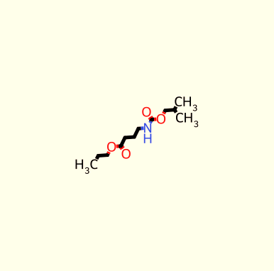 CCCOC(=O)CCCNC(=O)OCC(C)C